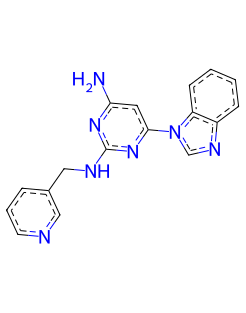 Nc1cc(-n2cnc3ccccc32)nc(NCc2cccnc2)n1